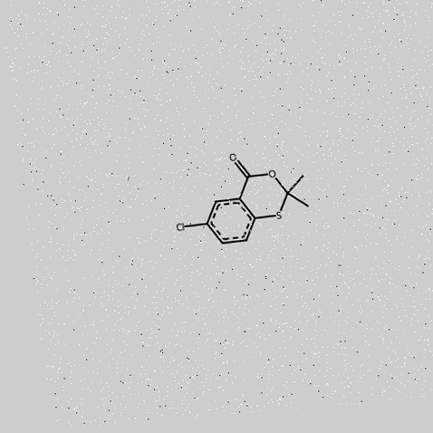 CC1(C)OC(=O)c2cc(Cl)ccc2S1